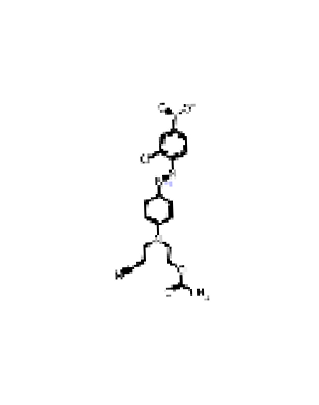 CC(=O)OCCN(CCC#N)C1=CCC(/N=N/c2ccc([N+](=O)[O-])cc2Cl)C=C1